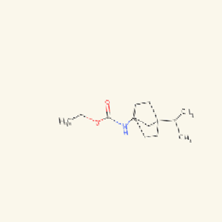 CCOC(=O)NC12CCC(C(C)C)(CC1)C2